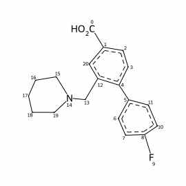 O=C(O)c1ccc(-c2ccc(F)cc2)c(CN2CCCCC2)c1